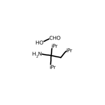 CC(C)CC(N)(C(C)C)C(C)C.O=CO